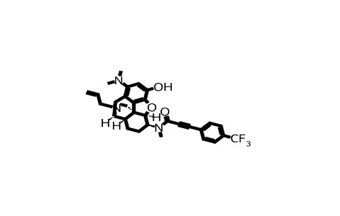 C=CCN1CC[C@]23c4c5c(N(C)C)cc(O)c4O[C@H]2[C@@H](N(C)C(=O)C#Cc2ccc(C(F)(F)F)cc2)CC[C@H]3[C@H]1C5